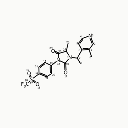 Cc1cnccc1C(C)N1C(=O)N(c2ccc(S(=O)(=O)C(F)(F)F)cc2)C(=O)C1C